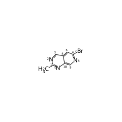 Cc1ncc2cc(Br)ncc2n1